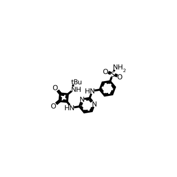 CC(C)(C)Nc1c(Nc2ccnc(Nc3cccc(S(N)(=O)=O)c3)n2)c(=O)c1=O